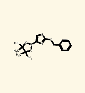 CC1(C)OB(c2csc(OCc3ccccc3)n2)OC1(C)C